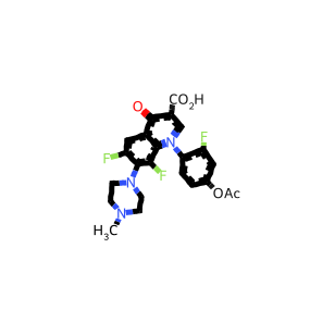 CC(=O)Oc1ccc(-n2cc(C(=O)O)c(=O)c3cc(F)c(N4CCN(C)CC4)c(F)c32)c(F)c1